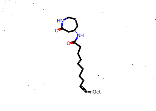 CCCCCCCC/C=C\CCCCCCCC(=O)N[C@H]1CCCNC(=O)C1